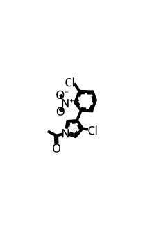 CC(=O)n1cc(Cl)c(-c2cccc(Cl)c2[N+](=O)[O-])c1